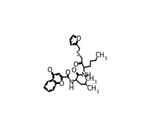 CCCCC(NC(=O)C(CC(C)C)NC(=O)c1cc(=O)c2ccccc2o1)C(=O)CSCc1ccco1